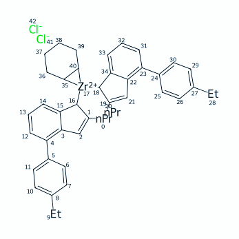 CCCC1=Cc2c(-c3ccc(CC)cc3)cccc2[CH]1[Zr+2]1([CH]2C(CCC)=Cc3c(-c4ccc(CC)cc4)cccc32)[CH]2CCCC[CH]21.[Cl-].[Cl-]